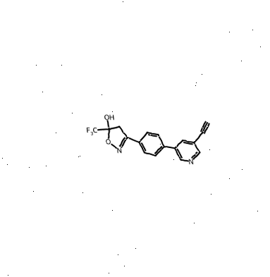 C#Cc1cncc(-c2ccc(C3=NOC(O)(C(F)(F)F)C3)cc2)c1